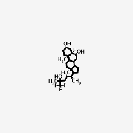 CC(CCC(C)(O)C(F)(F)F)C1CCC2C3C[C@H](O)[C@@H]4C[C@H](O)CCC4(C)C3CCC12C